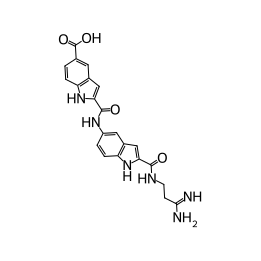 N=C(N)CCNC(=O)c1cc2cc(NC(=O)c3cc4cc(C(=O)O)ccc4[nH]3)ccc2[nH]1